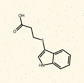 O=C(O)CCSc1c[nH]c2ccccc12